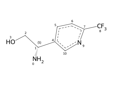 N[C@H](CO)c1ccc(C(F)(F)F)nc1